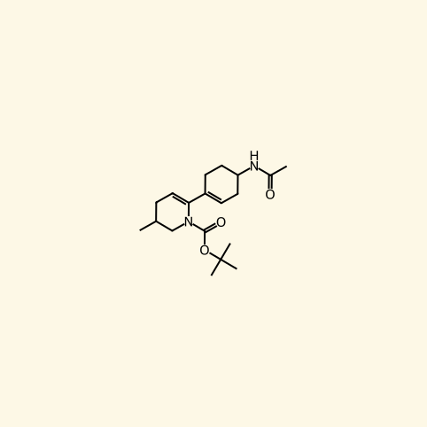 CC(=O)NC1CC=C(C2=CCC(C)CN2C(=O)OC(C)(C)C)CC1